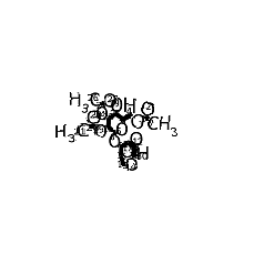 CC(=O)OCC1O[C@@H](O[C@H]2C3=C(O3)[C@@H]3OCC2O3)C(OC(C)=O)C(OC(C)=O)[C@@H]1O